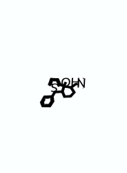 CN(C)CC1CCCC(Cc2ccccc2)C1(O)c1cccs1